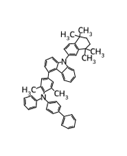 Cc1cc(-c2cccc3c2c2ccccc2n3-c2ccc3c(c2)C(C)(C)CCC3(C)C)cc(C)c1N(c1ccccc1)c1ccc(-c2ccccc2)cc1